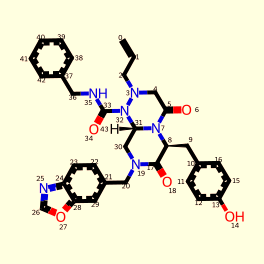 C=CCN1CC(=O)N2[C@@H](Cc3ccc(O)cc3)C(=O)N(Cc3ccc4ncoc4c3)C[C@@H]2N1C(=O)NCc1ccccc1